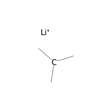 C[C-](C)C.[Li+]